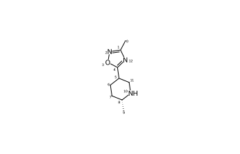 Cc1noc(C2CC[C@@H](C)NC2)n1